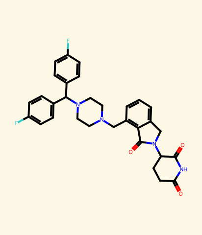 O=C1CCC(N2Cc3cccc(CN4CCN(C(c5ccc(F)cc5)c5ccc(F)cc5)CC4)c3C2=O)C(=O)N1